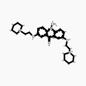 Cn1c2ccc(OCCN3CCCCC3)cc2c(=O)c2cc(OCCN3CCCCC3)ccc21